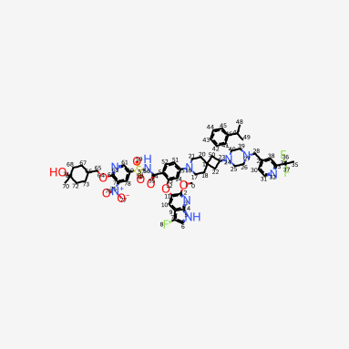 COc1nc2[nH]cc(F)c2cc1Oc1cc(N2CCC3(CC2)CC(N2CCN(Cc4ccnc(C(C)(F)F)c4)C[C@H]2c2ccccc2C(C)C)C3)ccc1C(=O)NS(=O)(=O)c1cnc(OCC2CCC(C)(O)CC2)c([N+](=O)[O-])c1